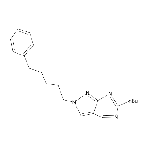 CCCCc1n[c]c2cn(CCCCCc3ccccc3)nc2n1